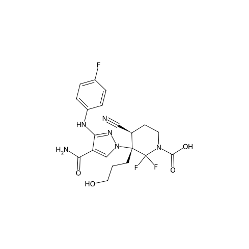 N#C[C@H]1CCN(C(=O)O)C(F)(F)[C@]1(CCCO)n1cc(C(N)=O)c(Nc2ccc(F)cc2)n1